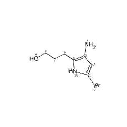 CC(C)c1cc(N)c(CCCO)[nH]1